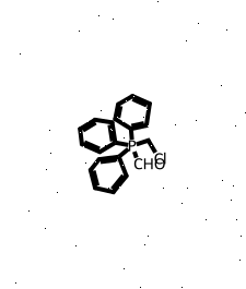 O=CP(CCl)(c1ccccc1)(c1ccccc1)c1ccccc1